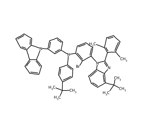 Cc1cccc(C)c1-c1nc2c(C(C)(C)C)cccc2n1-c1cccc(N(c2ccc(C(C)(C)C)cc2)c2cccc(-n3c4ccccc4c4ccccc43)c2)c1Br